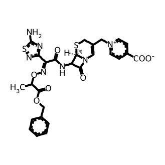 CC(ON=C(C(=O)NC1C(=O)N2C=C(C[n+]3ccc(C(=O)[O-])cc3)CS[C@H]12)c1nsc(N)n1)C(=O)OCc1ccccc1